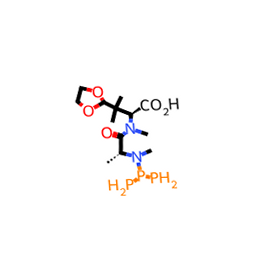 C[C@H](C(=O)N(C)[C@H](C(=O)O)C(C)(C)C1OCCO1)N(C)P(P)P